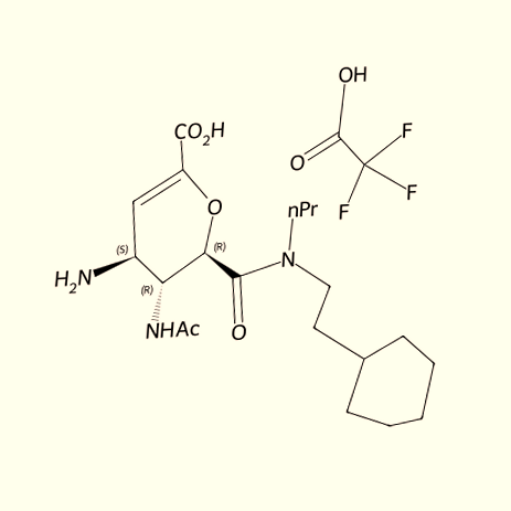 CCCN(CCC1CCCCC1)C(=O)[C@@H]1OC(C(=O)O)=C[C@H](N)[C@H]1NC(C)=O.O=C(O)C(F)(F)F